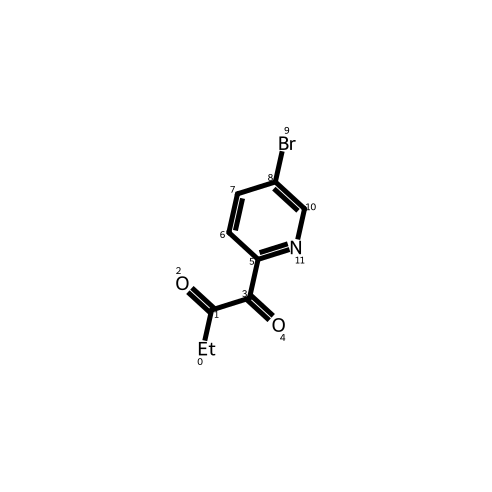 CCC(=O)C(=O)c1ccc(Br)cn1